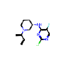 C=CC(=C)N1CCC[C@@H](Nc2nc(Cl)ncc2F)C1